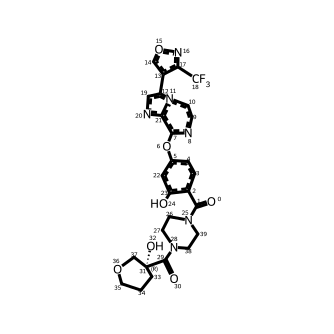 O=C(c1ccc(Oc2nccn3c(-c4conc4C(F)(F)F)cnc23)cc1O)N1CCN(C(=O)[C@@]2(O)CCCOC2)CC1